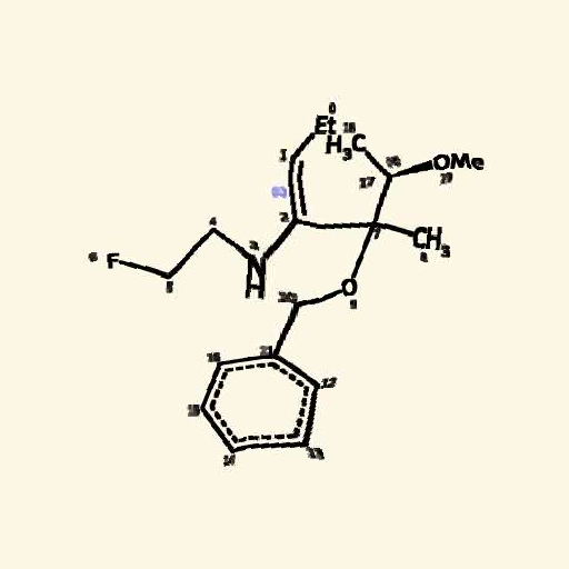 CC/C=C(/NCCF)C(C)(OCc1ccccc1)[C@@H](C)OC